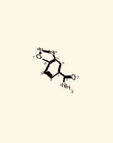 NC(=O)c1ccc2onnc2c1